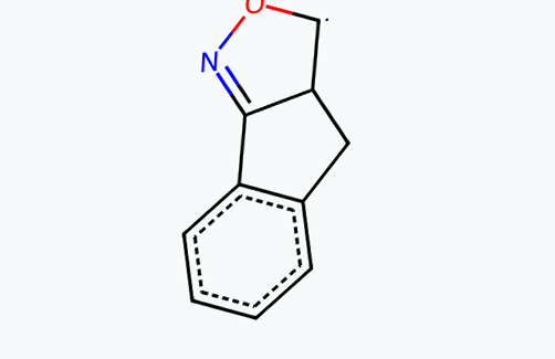 [CH]1ON=C2c3ccccc3CC12